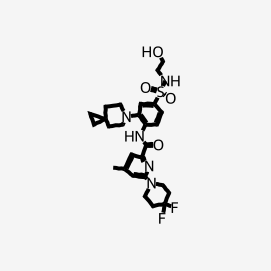 Cc1cc(C(=O)Nc2ccc(S(=O)(=O)NCCO)cc2N2CCC3(CC2)CC3)nc(N2CCC(F)(F)CC2)c1